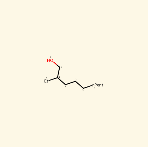 CCCCCCCCC([CH]O)CC